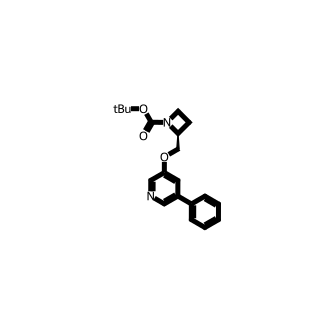 CC(C)(C)OC(=O)N1CC[C@H]1COc1cncc(-c2ccccc2)c1